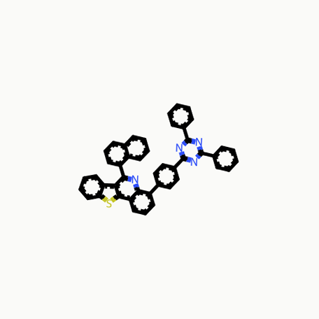 c1ccc(-c2nc(-c3ccccc3)nc(-c3ccc(-c4cccc5c4nc(-c4cccc6ccccc46)c4c6ccccc6sc54)cc3)n2)cc1